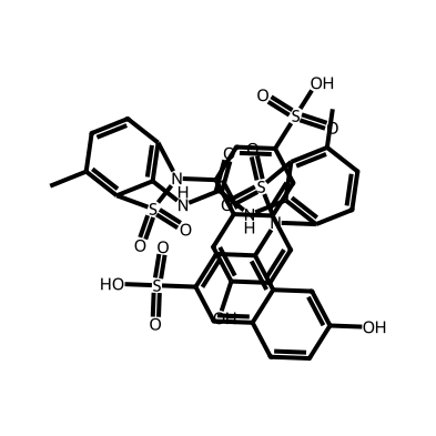 Cc1ccc2c(NC(=O)Nc3c4ccc(C)c3S(=O)(=O)N4c3cc(S(=O)(=O)O)cc4ccc(O)cc34)c1S(=O)(=O)N2c1cc(S(=O)(=O)O)cc2ccc(O)cc12